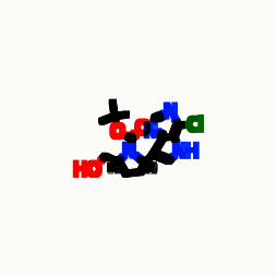 CC(C)(C)OC(=O)N1[C@H](CO)CC[C@@H]1c1c[nH]c2c(Cl)ncnc12